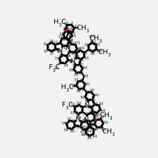 Cc1cc(C)cc(-c2ccc3c(c2)c2ccccc2n3-c2cc(C(F)(F)F)cc(-n3c4ccc(Cc5cc(C)cc(-c6ccc7c8ccccc8n(-c8cc(C(F)(F)F)cc(-n9c%10ccccc%10c%10ccc(-c%11cc(C)cc(C)c%11)cc%109)c8-c8cccc(-c9ccccc9)n8)c7c6)c5)cc4c4cc(-c5cc(C)cc(C)c5)ccc43)c2-c2cccc(-c3ccccc3)n2)c1